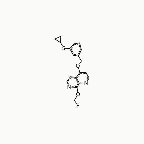 FCOc1nccc2c(OCc3cccc(SC4CC4)c3)ccnc12